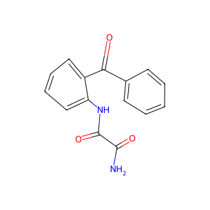 NC(=O)C(=O)Nc1ccccc1C(=O)c1ccccc1